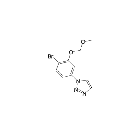 COCOc1cc(-n2ccnn2)ccc1Br